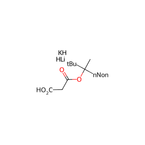 CCCCCCCCCC(C)(OC(=O)CC(=O)O)C(C)(C)C.[KH].[LiH]